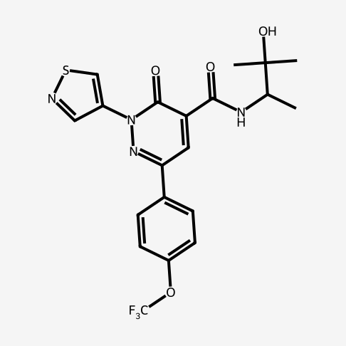 CC(NC(=O)c1cc(-c2ccc(OC(F)(F)F)cc2)nn(-c2cnsc2)c1=O)C(C)(C)O